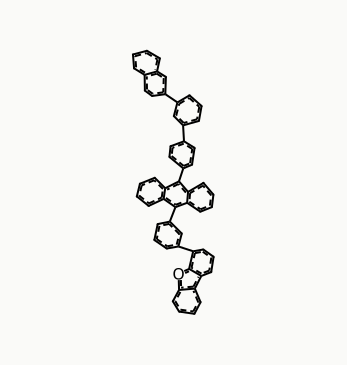 c1cc(-c2ccc(-c3c4ccccc4c(-c4cccc(-c5cccc6c5oc5ccccc56)c4)c4ccccc34)cc2)cc(-c2ccc3ccccc3c2)c1